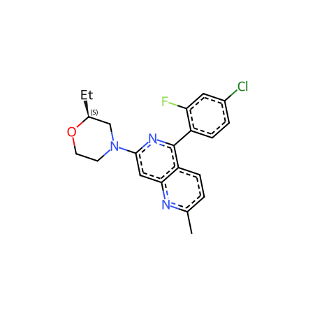 CC[C@H]1CN(c2cc3nc(C)ccc3c(-c3ccc(Cl)cc3F)n2)CCO1